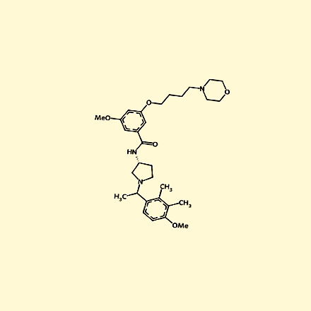 COc1cc(OCCCCN2CCOCC2)cc(C(=O)N[C@@H]2CCN(C(C)c3ccc(OC)c(C)c3C)C2)c1